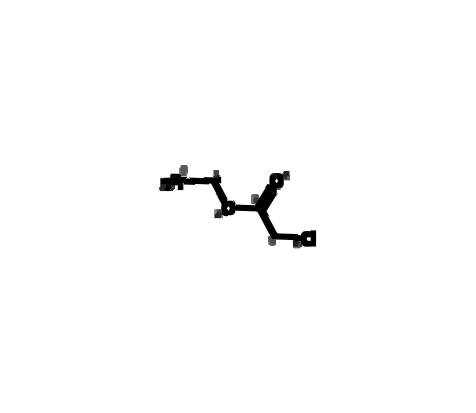 CCC[CH]OC(=O)CCl